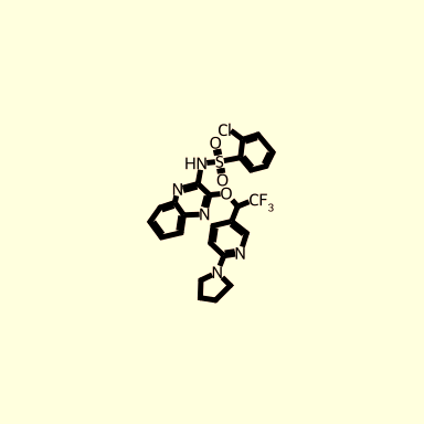 O=S(=O)(Nc1nc2ccccc2nc1OC(c1ccc(N2CCCC2)nc1)C(F)(F)F)c1ccccc1Cl